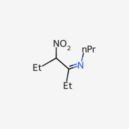 CCCN=C(CC)C(CC)[N+](=O)[O-]